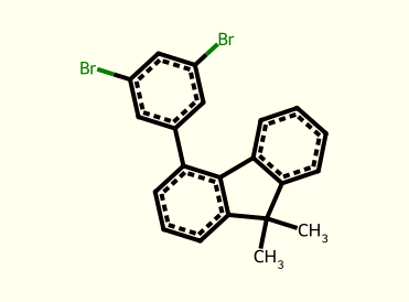 CC1(C)c2ccccc2-c2c(-c3cc(Br)cc(Br)c3)cccc21